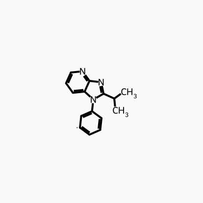 CC(C)c1nc2ncccc2n1-c1c[c]ccc1